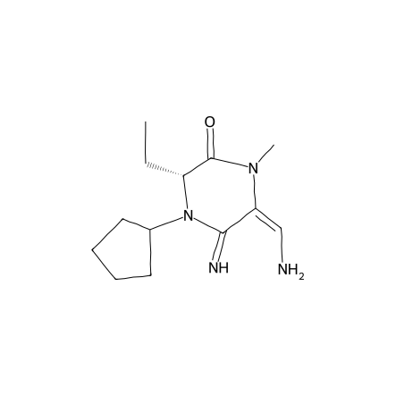 CC[C@@H]1C(=O)N(C)/C(=C/N)C(=N)N1C1CCCC1